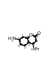 CCCc1cc(=O)oc2cc(N)ccc12